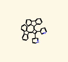 c1cncc(C2=C(c3cccnc3)C(=C3c4ccccc4-c4ccccc43)C2=C2c3ccccc3-c3ccccc32)c1